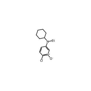 CCN(c1ccc(Cl)[n+]([O-])c1)C1CCCCC1